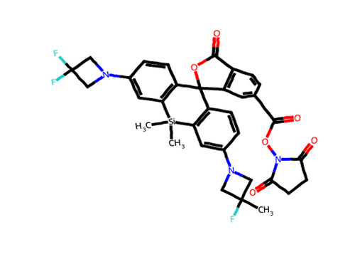 CC1(F)CN(c2ccc3c(c2)[Si](C)(C)c2cc(N4CC(F)(F)C4)ccc2C32OC(=O)c3ccc(C(=O)ON4C(=O)CCC4=O)cc32)C1